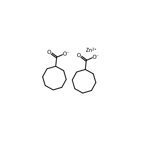 O=C([O-])C1CCCCCCC1.O=C([O-])C1CCCCCCC1.[Zn+2]